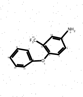 Nc1ccc(Oc2ccccc2)c(C(F)(F)F)c1